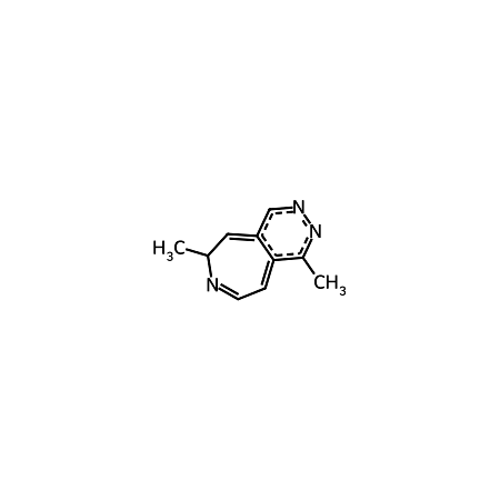 Cc1nncc2c1=CC=NC(C)C=2